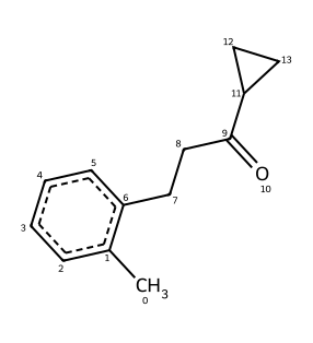 Cc1ccccc1CCC(=O)C1CC1